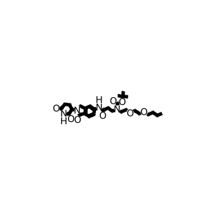 CCCCOCCOCCN(CCC(=O)Nc1ccc2c(c1)CN(C1CCC(=O)NC1=O)C2=O)C(=O)OC(C)(C)C